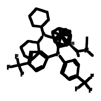 CC(N(C)C)[C@@]12[CH]3[CH]4[C]5(P(C6CCCCC6)C6CCCCC6)[C]1(P(c1ccc(C(F)(F)F)cc1)c1ccc(C(F)(F)F)cc1)[Fe]43521678[CH]2[CH]1[CH]6[CH]7[CH]28